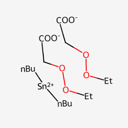 CCC[CH2][Sn+2][CH2]CCC.CCOOCC(=O)[O-].CCOOCC(=O)[O-]